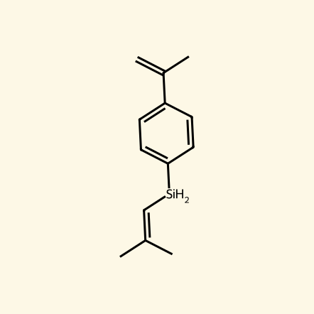 C=C(C)c1ccc([SiH2]C=C(C)C)cc1